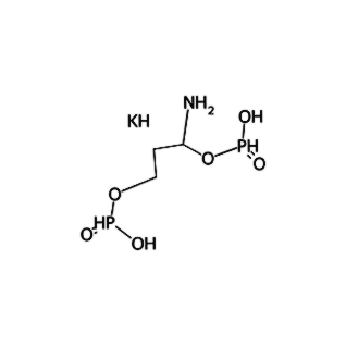 NC(CCO[PH](=O)O)O[PH](=O)O.[KH]